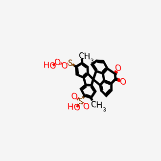 Cc1cc2c(cc1SOOO)-c1cc(S(=O)(=O)O)c(C)cc1C21c2cccc3c2-c2c(cccc21)C(=O)C3=O